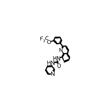 O=C(Nc1cccnc1)Nc1cccc2ccc(-c3cccc(OC(F)(F)F)c3)nc12